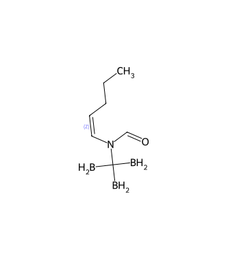 BC(B)(B)N(C=O)/C=C\CCC